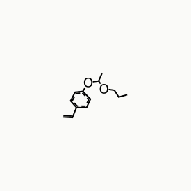 C=Cc1ccc(OC(C)OCCC)cc1